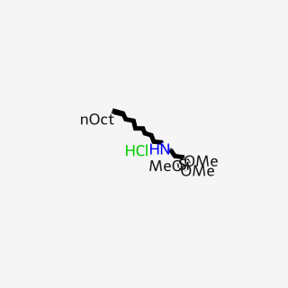 CCCCCCCC/C=C\CCCCCCCCNCCC[Si](OC)(OC)OC.Cl